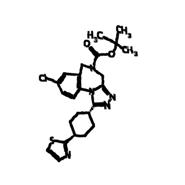 CC(C)(C)OC(=O)N1Cc2cc(Cl)ccc2-n2c(nnc2[C@H]2CC[C@H](c3nccs3)CC2)C1